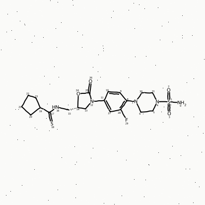 NS(=O)(=O)N1CCN(c2ccc(N3C[C@H](CNC(=S)C4CCCC4)OC3=O)cc2F)CC1